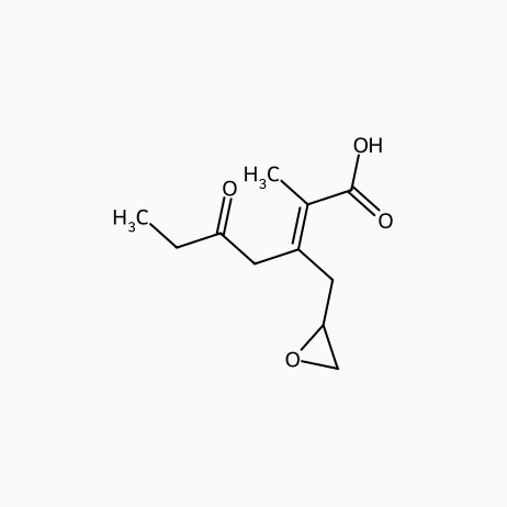 CCC(=O)CC(CC1CO1)=C(C)C(=O)O